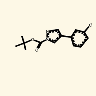 CC(C)(C)OC(=O)n1cc(-c2cccc(Cl)c2)cn1